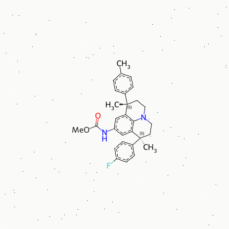 COC(=O)Nc1cc2c3c(c1)[C@](C)(c1ccc(F)cc1)CCN3CC[C@@]2(C)c1ccc(C)cc1